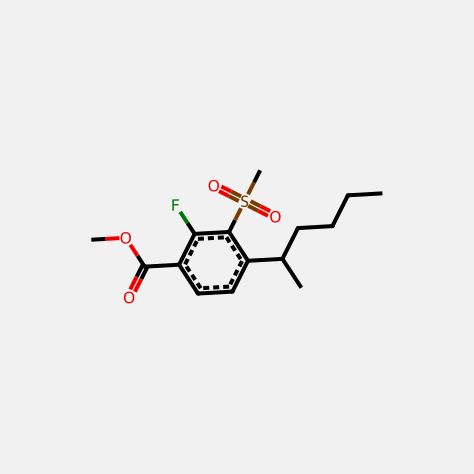 CCCCC(C)c1ccc(C(=O)OC)c(F)c1S(C)(=O)=O